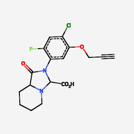 C#CCOc1cc(N2C(=O)C3CCCCN3C2C(=O)O)c(F)cc1Cl